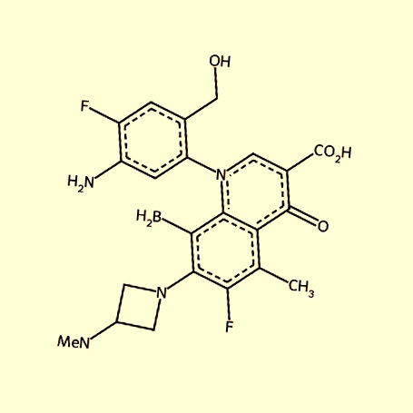 Bc1c(N2CC(NC)C2)c(F)c(C)c2c(=O)c(C(=O)O)cn(-c3cc(N)c(F)cc3CO)c12